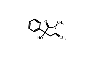 C=CCC(O)(C(=O)OC)c1ccccc1